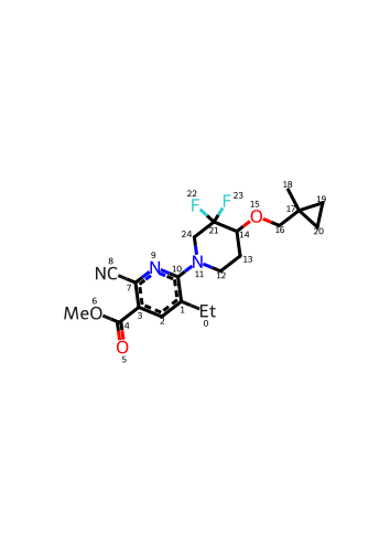 CCc1cc(C(=O)OC)c(C#N)nc1N1CCC(OCC2(C)CC2)C(F)(F)C1